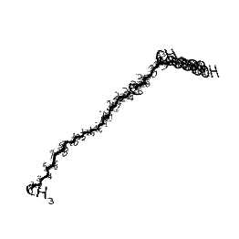 CCCCCCCCCCCCCCCCCCCCCCCCCCCCCCCCC(C)COOOOOOOO